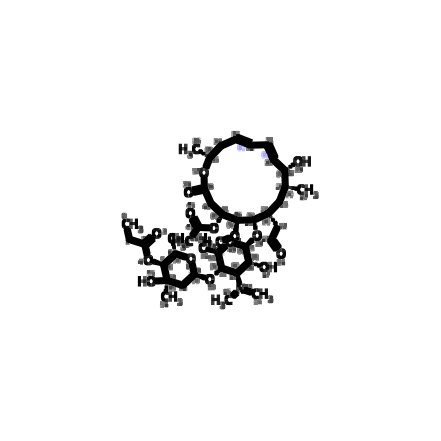 CCC(=O)O[C@H]1[C@H](C)O[C@@H](O[C@H]2[C@H](N(C)C)[C@@H](O)[C@H](O[C@H]3[C@@H](CC=O)C[C@@H](C)[C@@H](O)/C=C/C=C/C[C@@H](C)OC(=O)C[C@@H](OC(C)=O)[C@@H]3OC)O[C@@H]2C)C[C@@]1(C)O